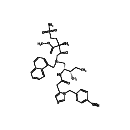 CC[C@H](C)[C@@H](CN(CC(=O)[C@@](N)(CCS(N)(=O)=O)C(=O)OC)Cc1cccc2ccccc12)NC(=O)Cc1cncn1Cc1ccc(C#N)cc1